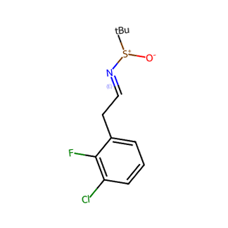 CC(C)(C)[S+]([O-])/N=C/Cc1cccc(Cl)c1F